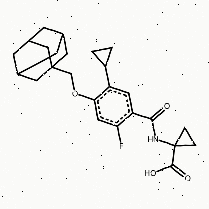 O=C(NC1(C(=O)O)CC1)c1cc(C2CC2)c(OCC23CC4CC(CC(C4)C2)C3)cc1F